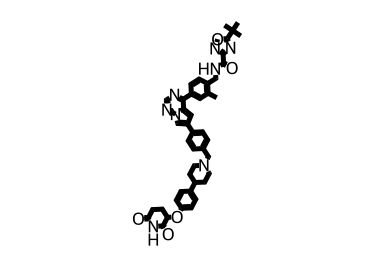 Cc1cc(-c2ncnn3cc(-c4ccc(CN5CCC(c6ccc(OC7CCC(=O)NC7=O)cc6)CC5)cc4)cc23)ccc1CNC(=O)c1noc(C(C)(C)C)n1